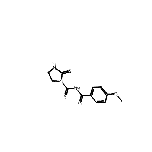 COc1ccc(C(=O)NC(=S)N2CCNC2=S)cc1